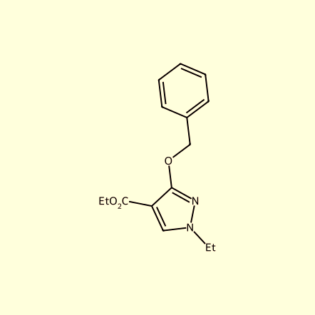 CCOC(=O)c1cn(CC)nc1OCc1ccccc1